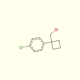 Clc1ccc(C2(CBr)CCC2)cc1